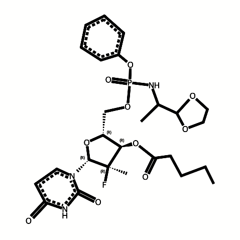 CCCCC(=O)O[C@@H]1[C@@H](COP(=O)(NC(C)C2OCCO2)Oc2ccccc2)O[C@@H](n2ccc(=O)[nH]c2=O)[C@]1(C)F